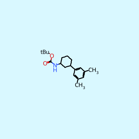 Cc1cc(C)cc(C2CCCC(NC(=O)OC(C)(C)C)C2)c1